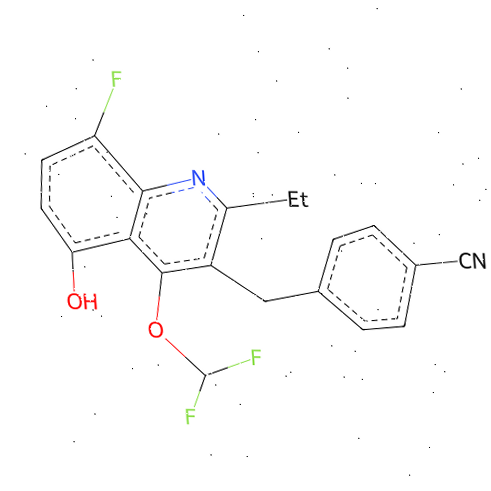 CCc1nc2c(F)ccc(O)c2c(OC(F)F)c1Cc1ccc(C#N)cc1